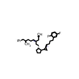 C#CC/C(=C/CCC(=C)CC(C)C)CC[C@H]1CCCC1C1C/C1=C\CCCc1cc(F)ccc1F